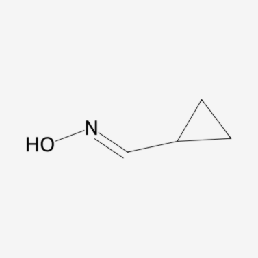 ON=CC1CC1